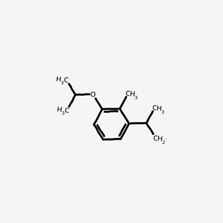 [CH2]C(C)c1cccc(OC(C)C)c1C